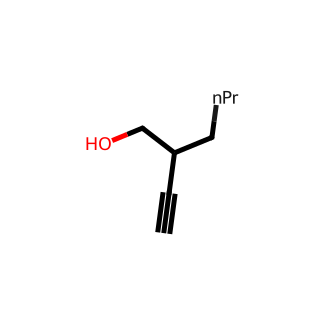 C#CC(CO)CCCC